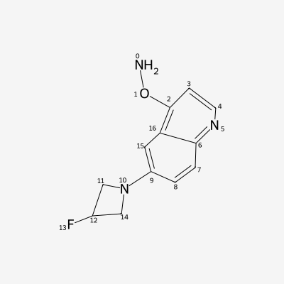 NOc1ccnc2ccc(N3CC(F)C3)cc12